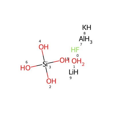 F.O.O[Si](O)(O)O.[AlH3].[KH].[LiH]